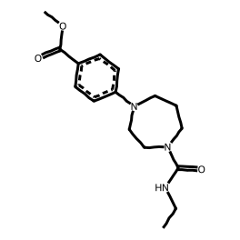 CCNC(=O)N1CCCN(c2ccc(C(=O)OC)cc2)CC1